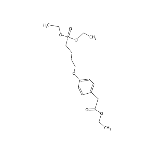 CCOC(=O)Cc1ccc(OCCCCP(=O)(OCC)OCC)cc1